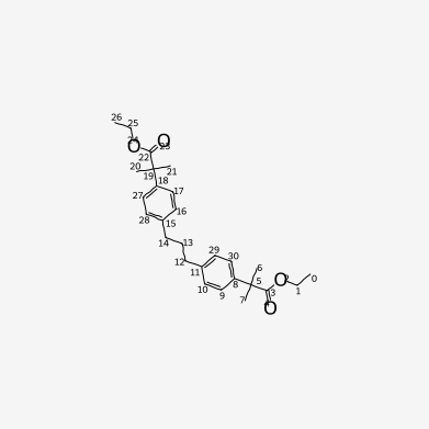 CCOC(=O)C(C)(C)c1ccc(CCCc2ccc(C(C)(C)C(=O)OCC)cc2)cc1